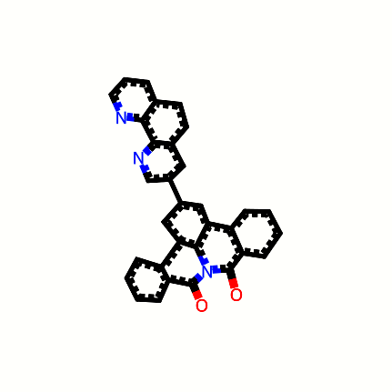 O=c1c2ccccc2c2cc(-c3cnc4c(ccc5cccnc54)c3)cc3c4ccccc4c(=O)n1c23